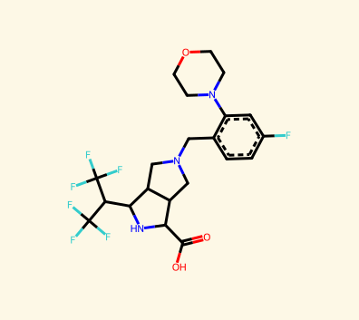 O=C(O)C1NC(C(C(F)(F)F)C(F)(F)F)C2CN(Cc3ccc(F)cc3N3CCOCC3)CC12